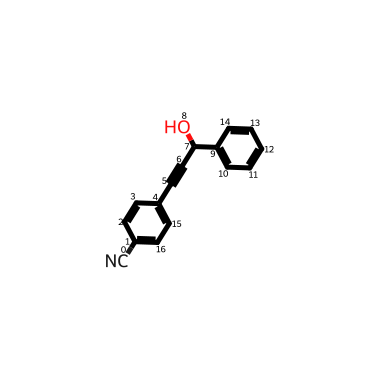 N#Cc1ccc(C#CC(O)c2ccccc2)cc1